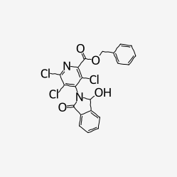 O=C(OCc1ccccc1)c1nc(Cl)c(Cl)c(N2C(=O)c3ccccc3C2O)c1Cl